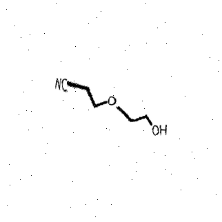 N#CCCOCCO